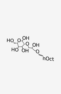 CCCCCCCC/C=C/OCC(O)CO[C@@H]1[C@@H](O)[C@@H](O)[C@@H](CO)O[C@H]1O